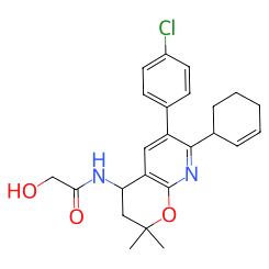 CC1(C)CC(NC(=O)CO)c2cc(-c3ccc(Cl)cc3)c(C3C=CCCC3)nc2O1